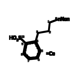 CCCCCCCCCCCCc1ccccc1S(=O)(=O)O.[Ce]